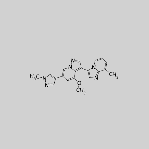 COc1cc(-c2cnn(C)c2)cn2ncc(-c3cnc4c(C)cccn34)c12